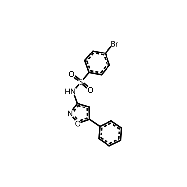 O=S(=O)(Nc1cc(-c2ccccc2)on1)c1ccc(Br)cc1